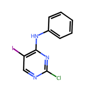 Clc1ncc(I)c(Nc2ccccc2)n1